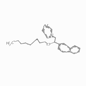 CCCCCCCCOC(Cn1ccnc1)c1ccc2ccccc2c1